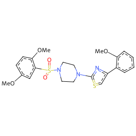 COc1ccc(OC)c(S(=O)(=O)N2CCN(c3nc(-c4ccccc4OC)cs3)CC2)c1